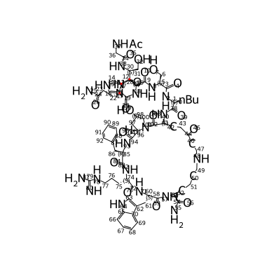 CCCC[C@H](NC(=O)[C@H](CO)NC(=O)[C@H](Cc1c[nH]cn1)NC(=O)[C@H](CCC(N)=O)NC(=O)[C@H](CO)NC(=O)CNC(C)=O)C(=O)N[C@H]1CCC(=O)CCNCCCC[C@@H](C(N)=O)NC(=O)[C@H](Cc2c[nH]c3ccccc23)NC(=O)[C@H](CCCNC(=N)N)NC(=O)[C@@H](Cc2ccccc2)NC(=O)[C@@H]2C[C@@H](O)CN2C1=O